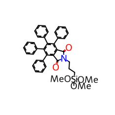 CO[Si](CCCN1C(=O)c2c(c(-c3ccccc3)c(-c3ccccc3)c(-c3ccccc3)c2-c2ccccc2)C1=O)(OC)OC